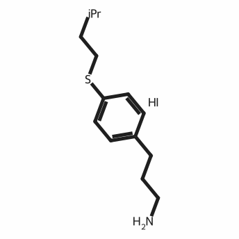 CC(C)CCSc1ccc(CCCN)cc1.I